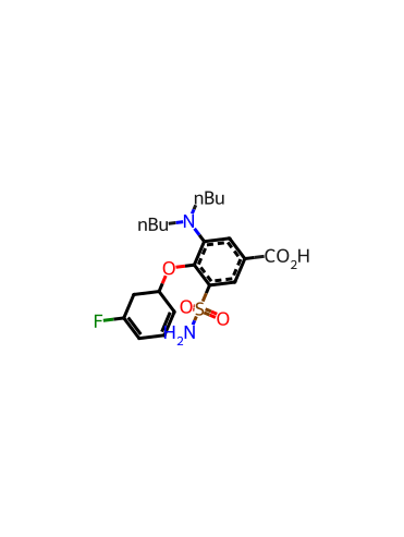 CCCCN(CCCC)c1cc(C(=O)O)cc(S(N)(=O)=O)c1OC1C=CC=C(F)C1